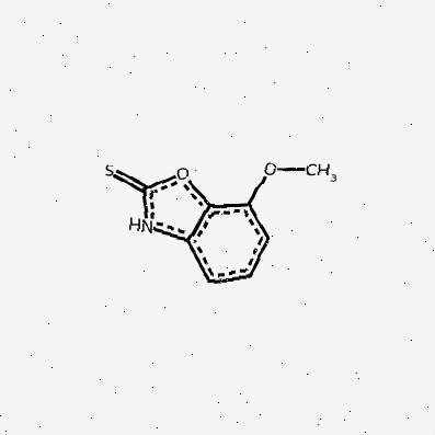 COc1cccc2[nH]c(=S)oc12